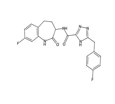 O=C(NC1CCc2ccc(F)cc2NC1=O)c1nnc(Cc2ccc(F)cc2)[nH]1